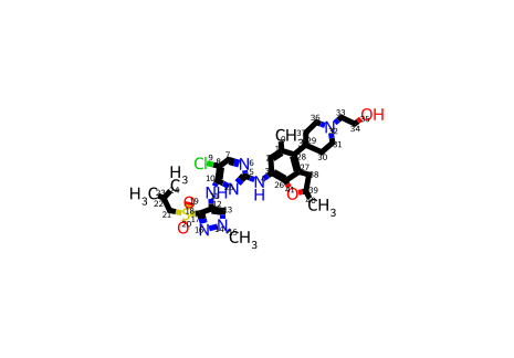 Cc1cc(Nc2ncc(Cl)c(Nc3cn(C)nc3S(=O)(=O)CC(C)C)n2)c2c(c1C1CCN(CCO)CC1)CC(C)O2